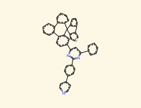 c1ccc(-c2cc(-c3ccc4c(c3)C3(c5ccccc5-c5ccccc5-4)c4ccccc4-c4ccccc43)nc(-c3ccc(-c4ccncc4)cc3)n2)cc1